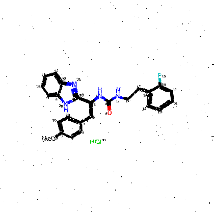 COc1ccc(CC(NC(=O)NCCc2ccccc2F)c2nc3ccccc3[nH]2)cc1.Cl